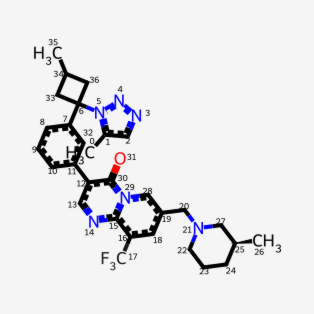 Cc1cnnn1C1(c2cccc(-c3cnc4c(C(F)(F)F)cc(CN5CCC[C@H](C)C5)cn4c3=O)c2)CC(C)C1